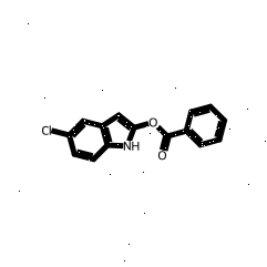 O=C(Oc1cc2cc(Cl)ccc2[nH]1)c1ccccc1